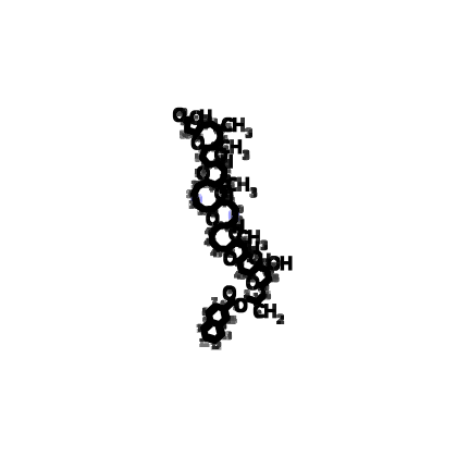 C=C(COC(=O)c1ccc2ccccc2c1)C[C@@H]1C[C@H](O)[C@@H]2O[C@@H]3C[C@]4(C)O[C@@H]5/C=C\C[C@@H]6O[C@H]7C(C/C=C\CC6OC5CCCC4OC3CC2O1)OC1CC2OC3CC(=O)O[C@H]3C[C@@H](C)C[C@@]2(C)O[C@H]1C[C@@H]7C